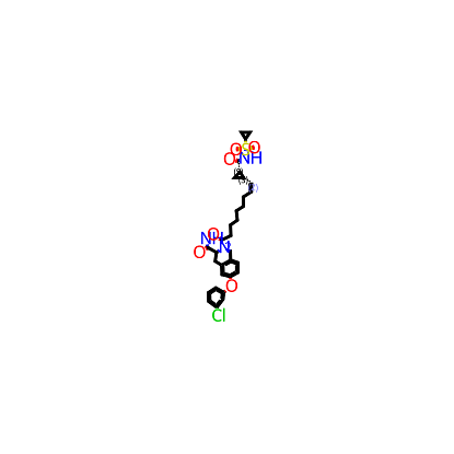 NC(=O)C1Cc2cc(Oc3cccc(Cl)c3)ccc2CN1C(=O)CCCCCC/C=C\[C@@H]1C[C@@H]1C(=O)NS(=O)(=O)C1CC1